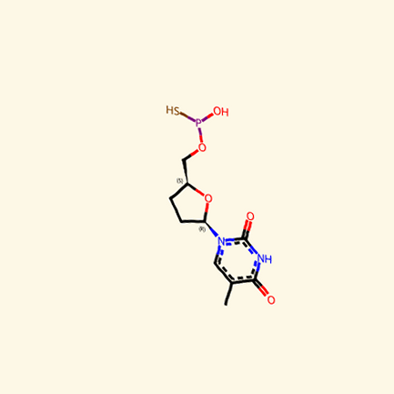 Cc1cn([C@H]2CC[C@@H](COP(O)S)O2)c(=O)[nH]c1=O